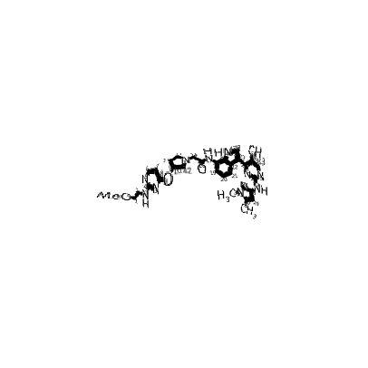 COCCNc1nccc(O[C@H]2CCN(CC(=O)Nc3cccc4c(-c5nc(Nc6cc(C)n(C)n6)ncc5C)c[nH]c34)C2)n1